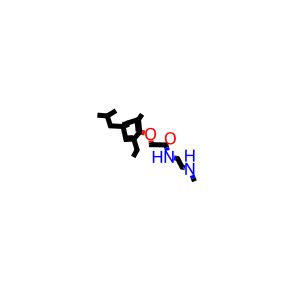 CCc1cc(CC(C)C)cc(C)c1OCC(=O)NCCNC